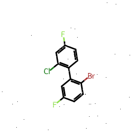 Fc1ccc(-c2cc(F)c[c]c2Br)c(Cl)c1